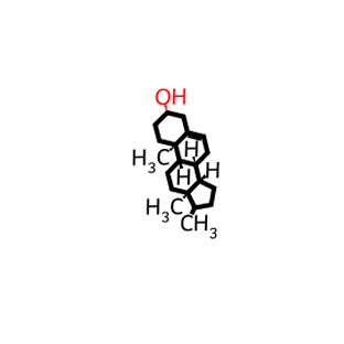 CC1CC[C@H]2[C@@H]3CC=C4C[C@@H](O)CC[C@]4(C)[C@H]3CC[C@]12C